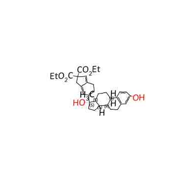 CCOC(=O)C1(C(=O)OCC)C=C2CC=C([C@]3(O)CC[C@H]4[C@@H]5CCc6cc(O)ccc6[C@H]5CC[C@@]43C)C=C2C1